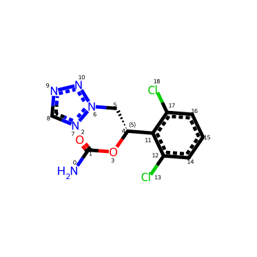 NC(=O)O[C@H](Cn1ncnn1)c1c(Cl)cccc1Cl